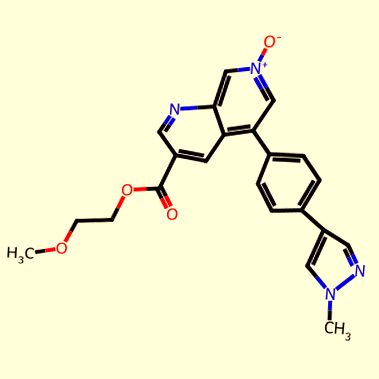 COCCOC(=O)c1cnc2c[n+]([O-])cc(-c3ccc(-c4cnn(C)c4)cc3)c2c1